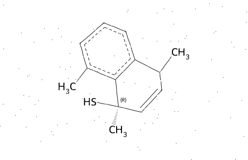 Cc1cccc2c1[C@](C)(S)C=CC2C